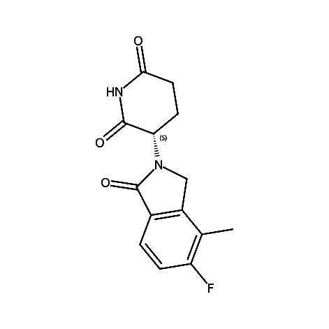 Cc1c(F)ccc2c1CN([C@H]1CCC(=O)NC1=O)C2=O